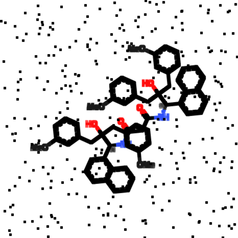 COc1cccc(CC(O)(Cc2cccc(OC)c2)[C@@H](NC(=O)CC(=O)N[C@@H](c2cccc3ccccc23)C(O)(Cc2cccc(OC)c2)Cc2cccc(OC)c2)c2cccc3ccccc23)c1